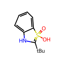 CC(C)(C)C1=S(=O)(O)c2ccccc2N1